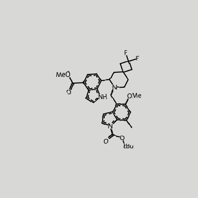 COC(=O)c1ccc(C2CC3(CCN2Cc2c(OC)cc(C)c4c2ccn4C(=O)OC(C)(C)C)CC(F)(F)C3)c2[nH]ccc12